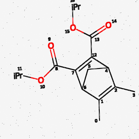 CC1=C(C)C2CC1C(C(=O)OC(C)C)=C2C(=O)OC(C)C